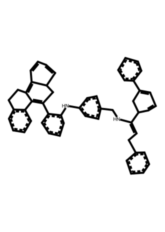 C1=CC2=C3CCc4ccccc4C3=C(c3ccccc3Nc3ccc(CN/C(=C\Cc4ccccc4)C4C=CC=C(c5ccccc5)C4)cc3)CC2C=C1